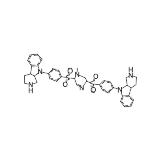 CN1CC(S(=O)(=O)c2ccc(N3c4ccccc4C4CCNCC43)cc2)N=CC1S(=O)(=O)c1ccc(N2c3ccccc3C3CCNCC32)cc1